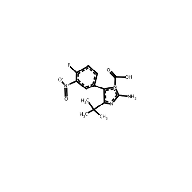 CC(C)(C)c1nc(N)n(C(=O)O)c1-c1ccc(F)c([N+](=O)[O-])c1